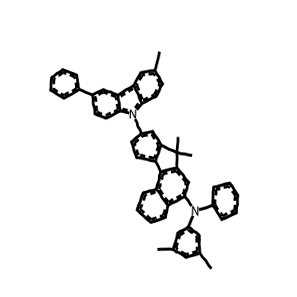 Cc1cc(C)cc(N(c2ccccc2)c2cc3c(c4ccccc24)-c2ccc(-n4c5ccc(C)cc5c5cc(-c6ccccc6)ccc54)cc2C3(C)C)c1